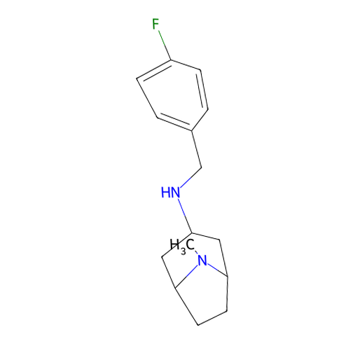 CN1C2CCC1CC(NCc1ccc(F)cc1)C2